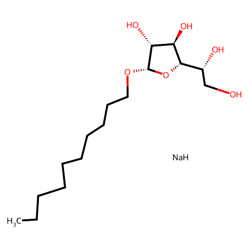 CCCCCCCCCCO[C@H]1O[C@@H]([C@H](O)CO)[C@H](O)[C@H]1O.[NaH]